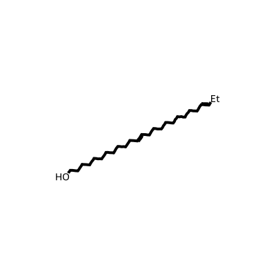 CCC=CCCCCCCCCCC=CCCCCCCCCCCCO